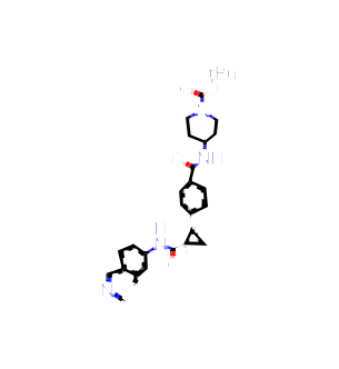 CC(C)(C)OC(=O)N1CCC(NC(=O)c2ccc([C@@H]3C[C@H]3C(=O)Nc3ccc4cnccc4c3)cc2)CC1